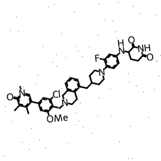 COc1cc(-c2cn(C)c(=O)c(C)c2C)cc(Cl)c1CN1CCc2c(CC3CCN(c4ccc(NC5CCC(=O)NC5=O)cc4F)CC3)cccc2C1